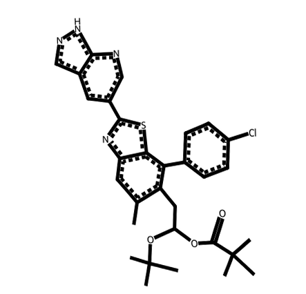 Cc1cc2nc(-c3cnc4[nH]ncc4c3)sc2c(-c2ccc(Cl)cc2)c1CC(OC(=O)C(C)(C)C)OC(C)(C)C